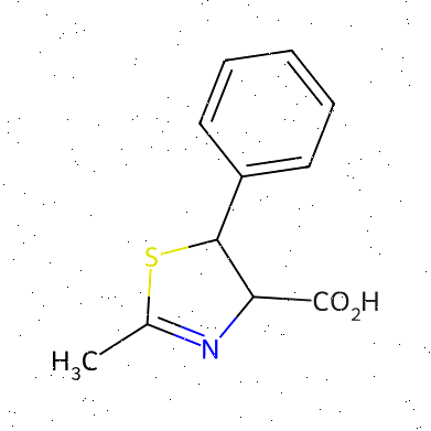 CC1=NC(C(=O)O)C(c2ccccc2)S1